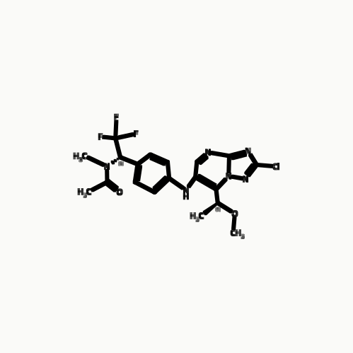 CO[C@@H](C)c1c(Nc2ccc([C@H](N(C)C(C)=O)C(F)(F)F)cc2)cnc2nc(Cl)nn12